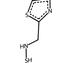 SNCc1nccs1